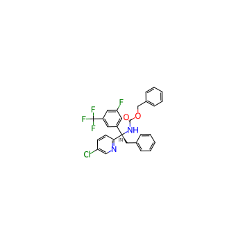 O=C(N[C@@](Cc1ccccc1)(c1cc(F)cc(C(F)(F)F)c1)c1ccc(Cl)cn1)OCc1ccccc1